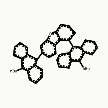 CCCCc1c2ccccc2c(-c2ccc3c(c2)oc2cccc(-c4c5ccccc5c(CCCC)c5ccccc45)c23)c2ccccc12